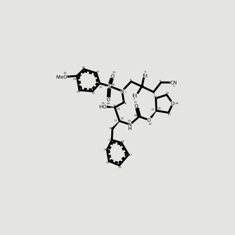 CCC(CC)(CCC#N)CN(C[C@H](O)[C@H](Cc1ccccc1)NC(=O)O[C@H]1CCOC1)S(=O)(=O)c1ccc(OC)cc1